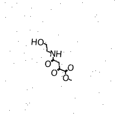 COC(=O)C(=O)CC(=O)NCCO